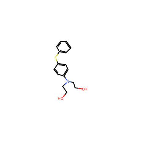 OCCN(CCO)c1ccc(Sc2ccccc2)cc1